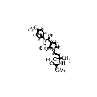 COC(=O)NC(C)(C)/C=C/n1ncc(C(=O)NC23CCC(C)(CC2)CC3)c1OCC(C)C